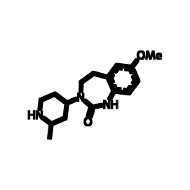 COc1ccc2c(c1)CCN(C1CCNC(C)C1)C(=O)N2